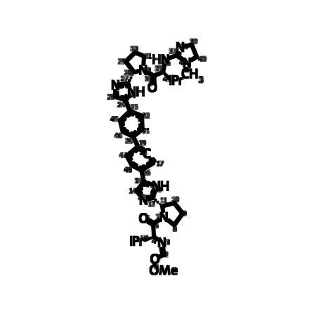 COO/C=N\[C@H](C(=O)N1CCC[C@H]1c1ncc(-c2ccc(-c3ccc(-c4cnc([C@@H]5CCCN5C(=O)[C@@H](NC5=NCCN5C)C(C)C)[nH]4)cc3)cc2)[nH]1)C(C)C